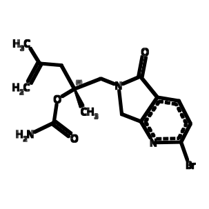 C=C(C)C[C@](C)(CN1Cc2nc(Br)ccc2C1=O)OC(N)=O